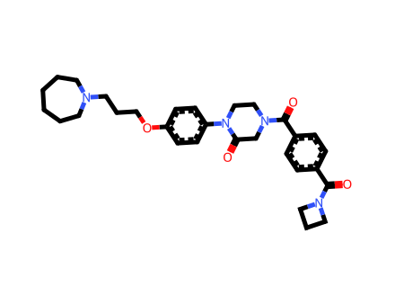 O=C(c1ccc(C(=O)N2CCN(c3ccc(OCCCN4CCCCCC4)cc3)C(=O)C2)cc1)N1CCC1